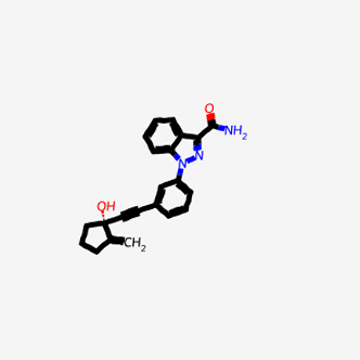 C=C1CCC[C@@]1(O)C#Cc1cccc(-n2nc(C(N)=O)c3ccccc32)c1